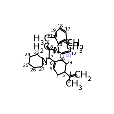 C=C(C)C1CC=C(C(C(=C)N(/C=C\C)c2c(C)cccc2C)N2CCCCC2)CC1